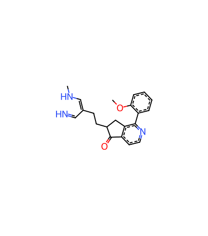 CN/C=C(\C=N)CCC1Cc2c(ccnc2-c2ccccc2OC)C1=O